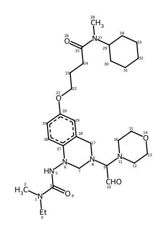 CCN(C)C(=O)NN1CN(C(C=O)N2CCOCC2)Cc2cc(OCCCC(=O)N(C)C3CCCCC3)ccc21